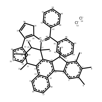 Cc1cc2c(c(C)c1C)C(C)c1c3c(c4ccccc4c1-2)C(C)C(C)C(C)[C]3(C)[Zr+2]([C]1=C(c2ccsc2)C=CC1)=[C](c1ccccc1)c1ccccc1.[Cl-].[Cl-]